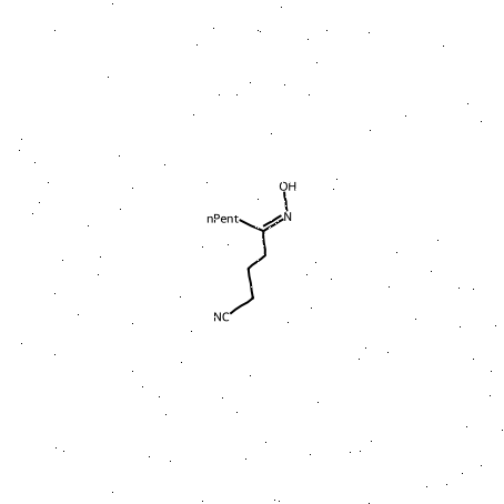 CCCCC/C(CCCC#N)=N\O